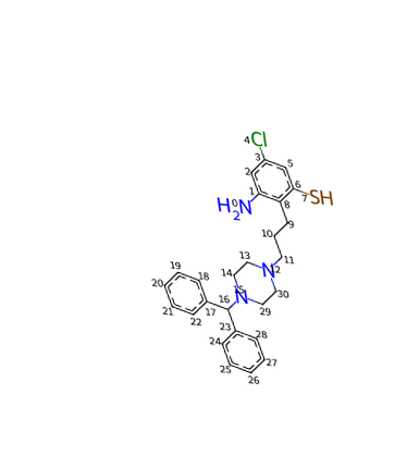 Nc1cc(Cl)cc(S)c1CCCN1CCN(C(c2ccccc2)c2ccccc2)CC1